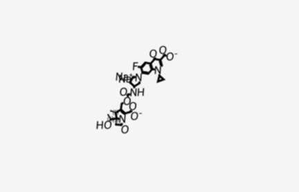 C[C@H](O)[C@@]12CC(=O)N1C(C(=O)[O-])=C(COC(=O)NC1CCN(c3cc4c(cc3F)c(=O)c(C(=O)[O-])cn4C3CC3)C1)[C@@H]2C.[Na+].[Na+]